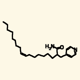 CCCCCCCC/C=C\CCCCCCC(Cc1ccncc1)C(N)=O